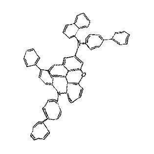 c1ccc(-c2ccc(N(c3ccc(-c4ccccc4)cc3)c3cccc4c3-c3cccc5cc(N(c6ccc(-c7ccccc7)cc6)c6cccc7ccccc67)cc(c35)O4)cc2)cc1